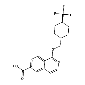 O=C(O)c1ccc2c(OC[C@H]3CC[C@H](C(F)(F)F)CC3)nccc2c1